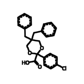 O=C(O)C1(c2ccc(Cl)cc2)OCC(Cc2ccccc2)(Cc2ccccc2)CO1